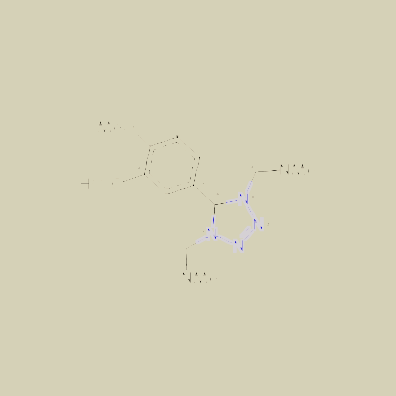 CNCN1N=NN(CNC)C1c1ccc(OC)c(C(=O)O)c1